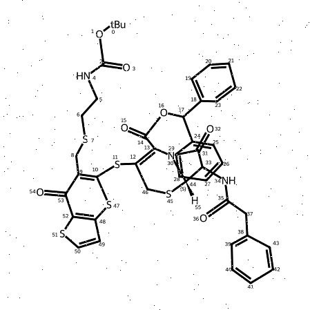 CC(C)(C)OC(=O)NCCSCc1c(SC2=C(C(=O)OC(c3ccccc3)c3ccccc3)N3C(=O)C(NC(=O)Cc4ccccc4)[C@@H]3SC2)sc2ccsc2c1=O